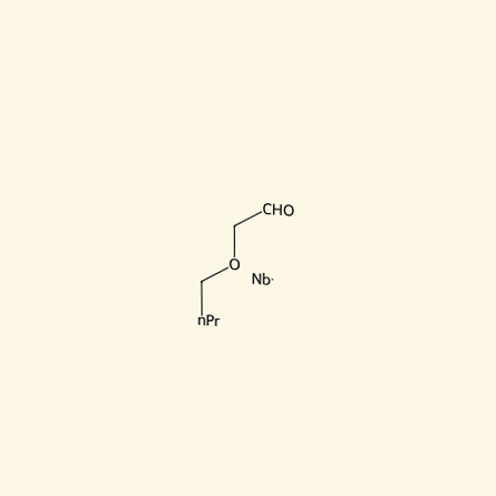 CCCCOCC=O.[Nb]